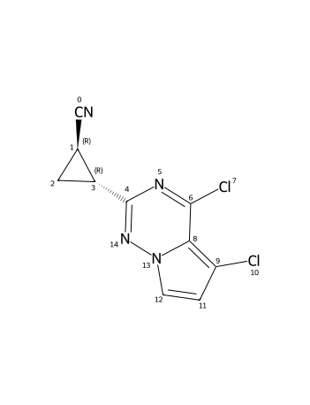 N#C[C@@H]1C[C@H]1c1nc(Cl)c2c(Cl)ccn2n1